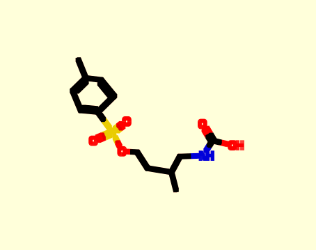 Cc1ccc(S(=O)(=O)OCCC(C)CNC(=O)O)cc1